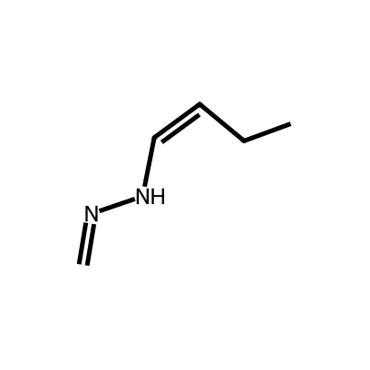 C=NN/C=C\CC